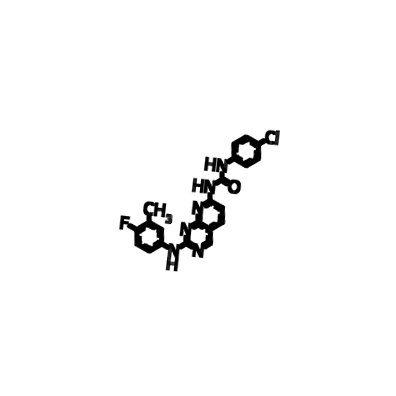 Cc1cc(Nc2ncc3ccc(NC(=O)Nc4ccc(Cl)cc4)nc3n2)ccc1F